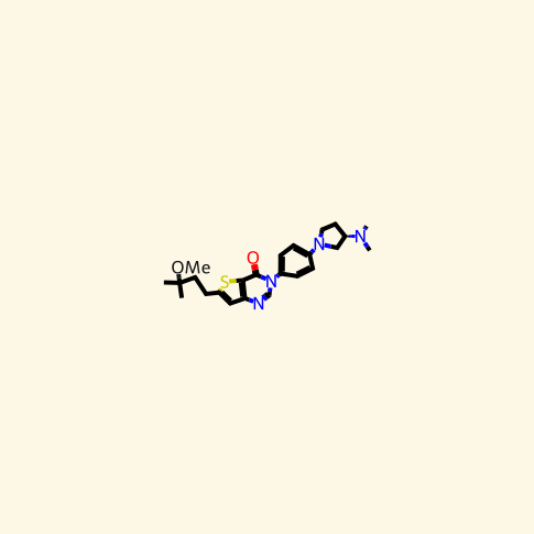 COC(C)(C)CCc1cc2ncn(-c3ccc(N4CC[C@@H](N(C)C)C4)cc3)c(=O)c2s1